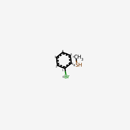 Brc1ccccc1.CS